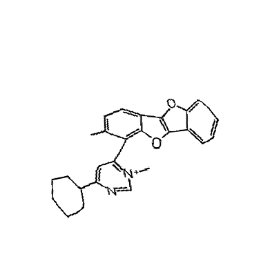 Cc1ccc2c(oc3c4ccccc4oc23)c1-c1cc(C2CCCCC2)nc[n+]1C